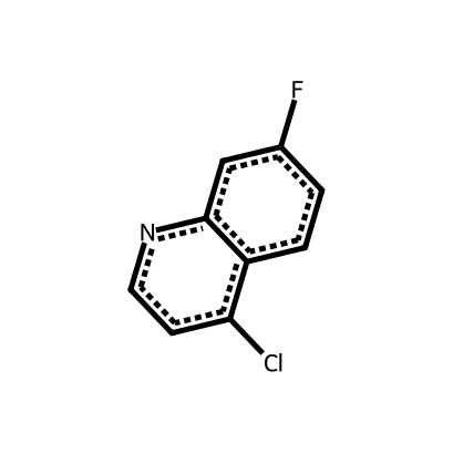 Fc1ccc2c(Cl)ccnc2c1